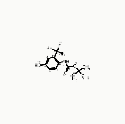 CC(C)(C)OC(=O)Nc1ccc(O)cc1C(F)(F)F